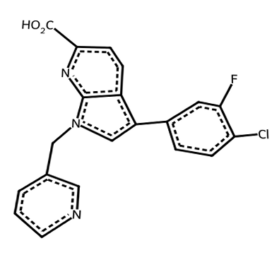 O=C(O)c1ccc2c(-c3ccc(Cl)c(F)c3)cn(Cc3cccnc3)c2n1